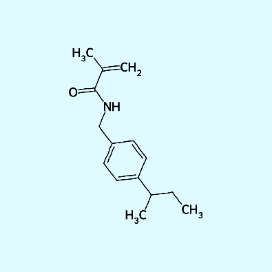 C=C(C)C(=O)NCc1ccc(C(C)CC)cc1